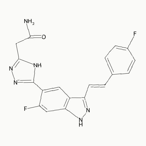 NC(=O)Cc1nnc(-c2cc3c(/C=C/c4ccc(F)cc4)n[nH]c3cc2F)[nH]1